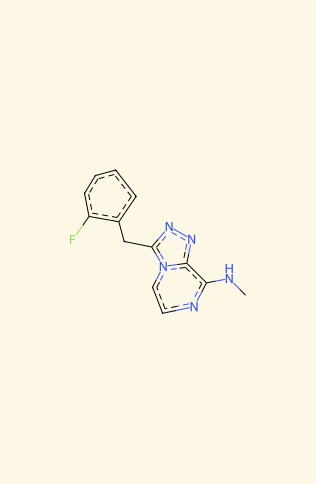 CNc1nccn2c(Cc3ccccc3F)nnc12